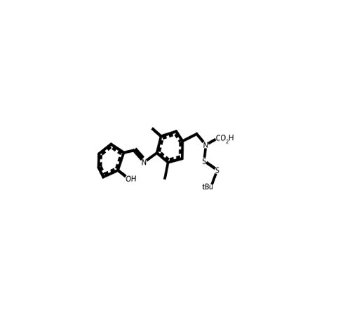 Cc1cc(CN(SSC(C)(C)C)C(=O)O)cc(C)c1N=Cc1ccccc1O